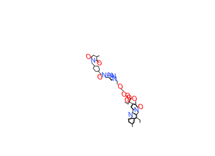 CCc1c2c(nc3ccc(C)cc13)-c1cc3c(c(=O)n1C2)COC(=O)[C@@]3(CC)OC(=O)OCCOCCn1cc(CNC(=O)C2CCC(CN3C(=O)CC(C)C3=O)CC2)nn1